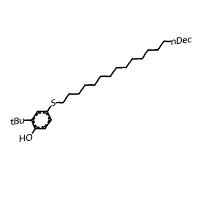 CCCCCCCCCCCCCCCCCCCCCCCCSc1ccc(O)c(C(C)(C)C)c1